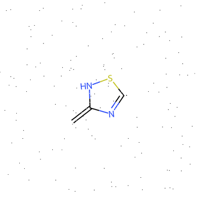 C=C1N=[C]SN1